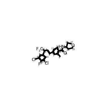 Cc1cc(/C=C/C(c2cc(Cl)c(F)c(Cl)c2)C(F)(F)F)ccc1C(=O)NC1CCOCC1